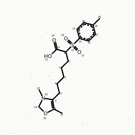 CC1=C(CCCCCC(C(=O)O)S(=O)(=O)c2ccc(C)cc2)N(C)CO1